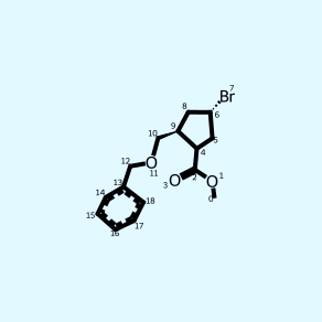 COC(=O)C1C[C@@H](Br)C[C@@H]1COCc1ccccc1